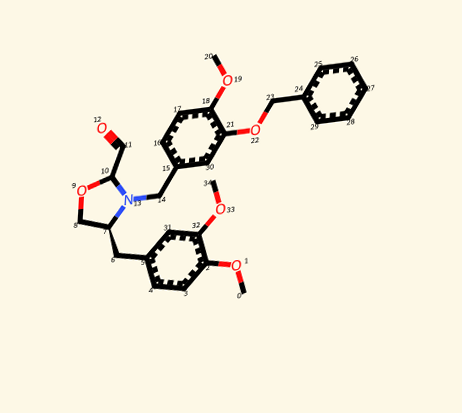 COc1ccc(C[C@H]2COC(C=O)N2Cc2ccc(OC)c(OCc3ccccc3)c2)cc1OC